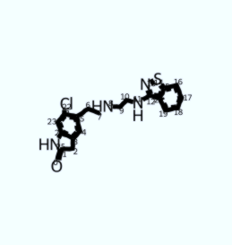 O=C1Cc2cc(CCNCCNc3nsc4ccccc34)c(Cl)cc2N1